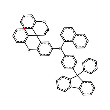 c1ccc(C2(c3ccc(N(c4ccc5c(c4)C4(c6ccccc6Oc6ccccc64)c4ccccc4S5)c4cccc5ccccc45)cc3)c3ccccc3-c3ccccc32)cc1